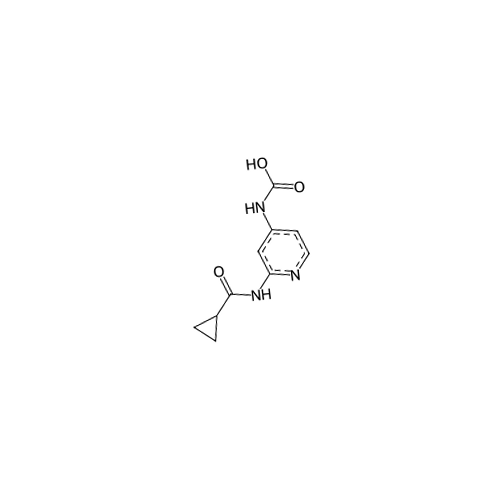 O=C(O)Nc1ccnc(NC(=O)C2CC2)c1